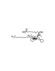 CCCCCCCCCCCCC(C)(C)CC(CC(C)(C)COC1CCCCC1)NN1CCCCC1.O=C(O)CCCCCCCCC(=O)O